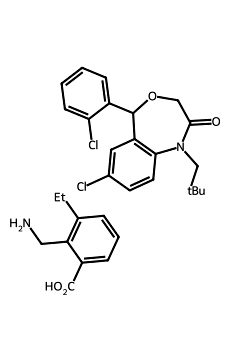 CC(C)(C)CN1C(=O)COC(c2ccccc2Cl)c2cc(Cl)ccc21.CCc1cccc(C(=O)O)c1CN